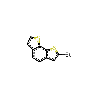 CCc1cc2ccc3ccsc3c2s1